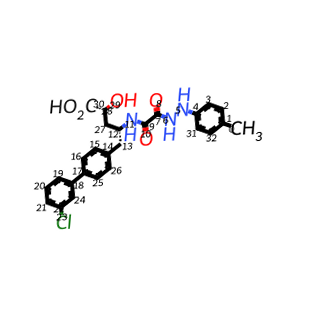 Cc1ccc(NNC(=O)C(=O)N[C@H](Cc2ccc(-c3cccc(Cl)c3)cc2)C[C@@H](O)C(=O)O)cc1